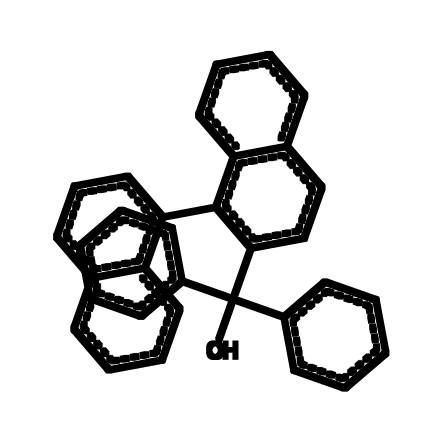 OC(c1ccccc1)(c1ccccc1)c1ccc2ccccc2c1-c1cccc2ccccc12